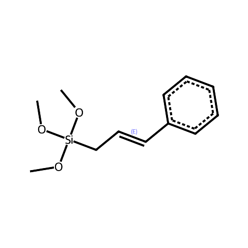 CO[Si](C/C=C/c1ccccc1)(OC)OC